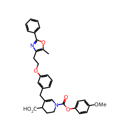 COc1ccc(OC(=O)N2C=C(Cc3cccc(OCCc4nc(-c5ccccc5)oc4C)c3)C(C(=O)O)CC2)cc1